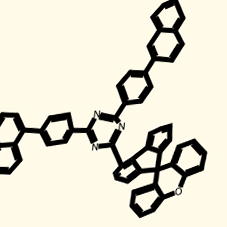 c1ccc2c(c1)Oc1ccccc1C21c2ccccc2-c2c(-c3nc(-c4ccc(-c5ccc6ccccc6c5)cc4)nc(-c4ccc(-c5cccc6ccccc56)cc4)n3)cccc21